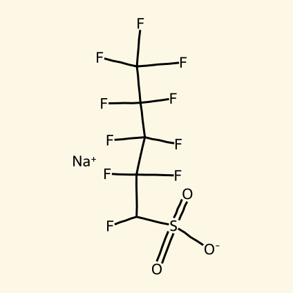 O=S(=O)([O-])C(F)C(F)(F)C(F)(F)C(F)(F)C(F)(F)F.[Na+]